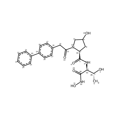 C[C@@H](O)[C@H](NC(=O)[C@@H]1CC(O)CN1C(=O)Cc1ccc(-c2ccccc2)cc1)C(=O)NO